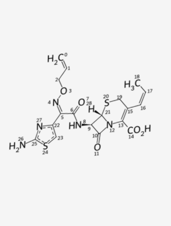 C=CCO/N=C(\C(=O)N[C@@H]1C(=O)N2C(C(=O)O)=C(/C=C\C)CS[C@@H]12)c1csc(N)n1